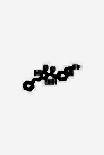 CC(C)n1cc2cc(NC(=O)C3=C(O)C(CCc4ccccc4)NC3=O)ccc2n1